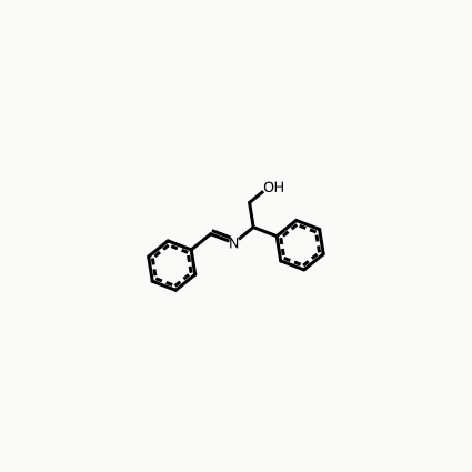 OCC(N=Cc1ccccc1)c1ccccc1